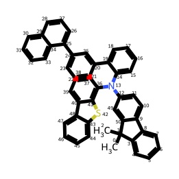 CC1(C)c2ccccc2-c2ccc(N(c3ccccc3-c3cccc(-c4cccc5ccccc45)c3)c3cccc4c3sc3ccccc34)cc21